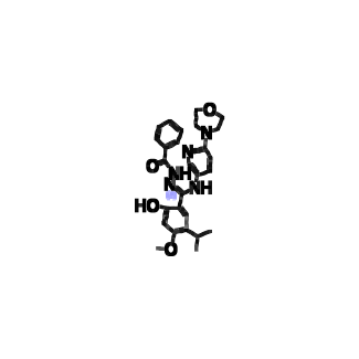 COc1cc(O)c(/C(=N/NC(=O)c2ccccc2)Nc2ccc(N3CCOCC3)nc2)cc1C(C)C